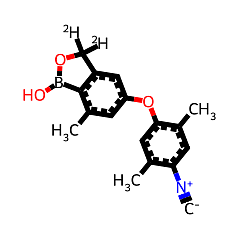 [2H]C1([2H])OB(O)c2c(C)cc(Oc3cc(C)c([N+]#[C-])cc3C)cc21